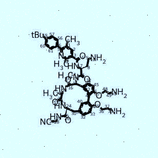 Cc1cc(C(=O)N[C@@H](CCN)C(=O)N(C)[C@@H]2C(=O)N[C@@H](C)C(=O)N[C@H](C(=O)NCC#N)Cc3ccc(OCCN)c(c3)-c3cc2ccc3OCCN)c(C)nc1-c1ccc(C(C)(C)C)cc1